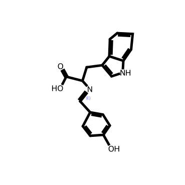 O=C(O)C(Cc1c[nH]c2ccccc12)/N=C/c1ccc(O)cc1